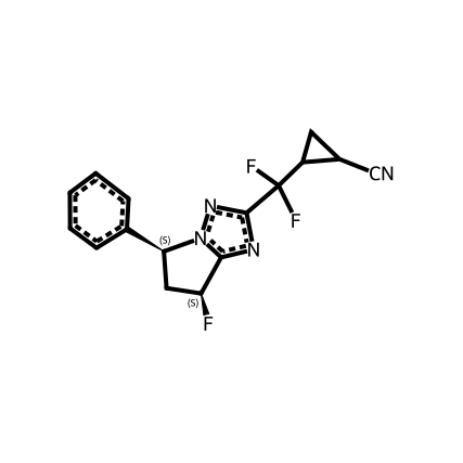 N#CC1CC1C(F)(F)c1nc2n(n1)[C@H](c1ccccc1)C[C@@H]2F